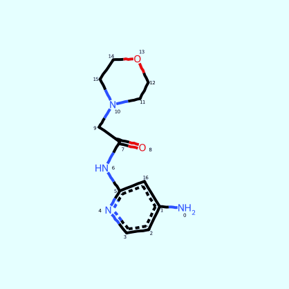 Nc1ccnc(NC(=O)CN2CCOCC2)c1